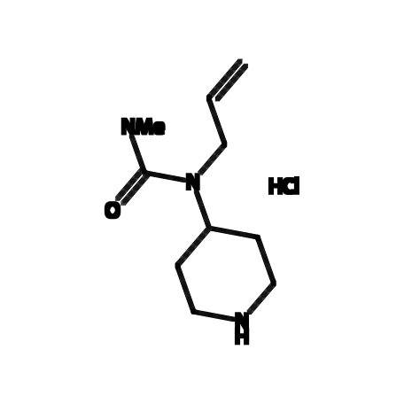 C=CCN(C(=O)NC)C1CCNCC1.Cl